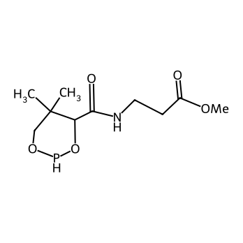 COC(=O)CCNC(=O)C1OPOCC1(C)C